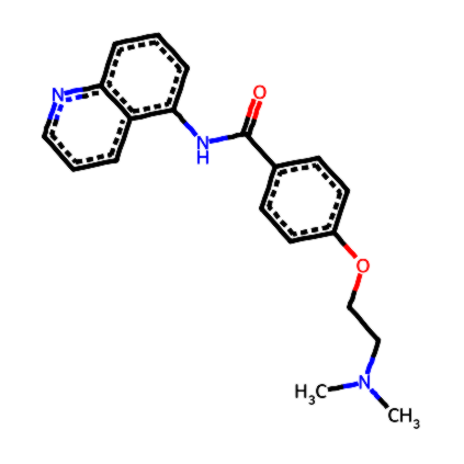 CN(C)CCOc1ccc(C(=O)Nc2cccc3ncccc23)cc1